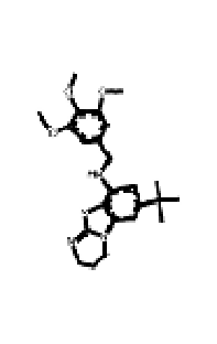 COc1cc(CNc2cc(C(C)(C)C)cc3c2SC2=NCCCN23)cc(OC)c1OC